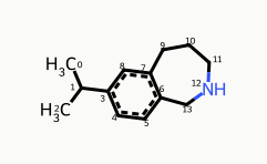 CC(C)c1ccc2c(c1)CCCNC2